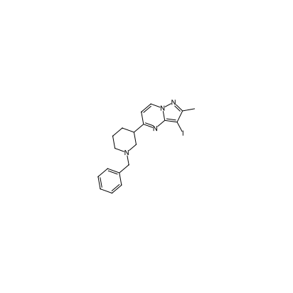 Cc1nn2ccc(C3CCCN(Cc4ccccc4)C3)nc2c1I